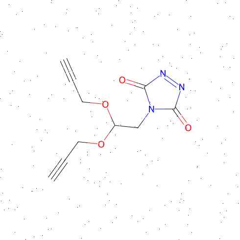 C#CCOC(CN1C(=O)N=NC1=O)OCC#C